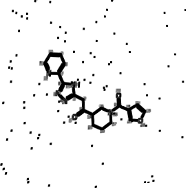 O=C(Cc1nnc(-c2ccccn2)[nH]1)C1CCCN(C(=O)c2ccoc2)C1